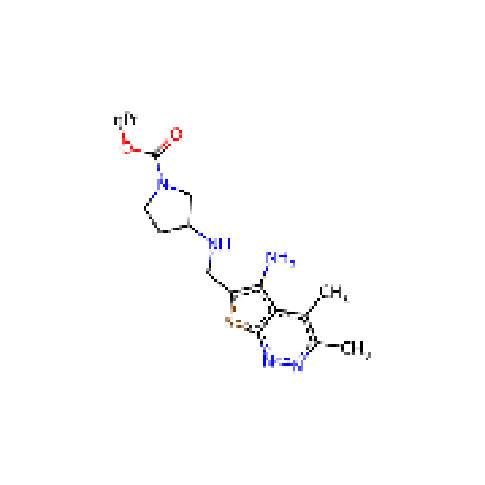 CCCOC(=O)N1CCC(NCc2sc3nnc(C)c(C)c3c2N)C1